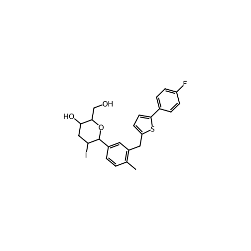 Cc1ccc(C2OC(CO)C(O)CC2I)cc1Cc1ccc(-c2ccc(F)cc2)s1